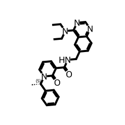 CCN(CC)c1ncnc2ccc(CNC(=O)c3cccn([C@@H](C)c4ccccc4)c3=O)cc12